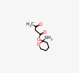 CC(=O)CC(=O)OC1([SiH3])CCCCO1